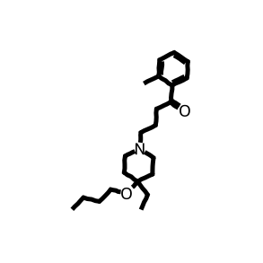 CCCCOC1(CC)CCN(CCCC(=O)c2ccccc2C)CC1